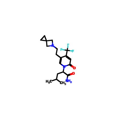 CC(C)CC(C(N)=O)n1cc(CCN2CC3(CC3)C2)c(C(F)(F)F)cc1=O